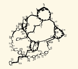 ClCCCCOc1c2cccc1Cc1cccc3c1OCCOCCOCCOCCCCCOc1c(cccc1Cc1cccc(c1OCCCCCl)C3)C2